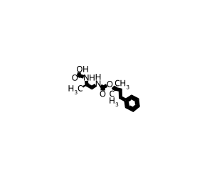 C[C@H](CNC(=O)OC(C)(C)CCc1ccccc1)NC(=O)O